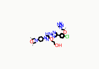 C[C@@H]1CN(C2CCC(n3cc(Nc4ncc(-c5ccc(Cl)c(O[C@@H](C)Cn6cnnn6)c5)cn4)c(OCCCO)n3)CC2)C[C@H](C)O1